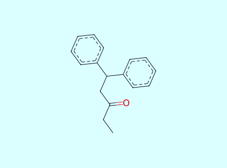 CCC(=O)CC(c1ccccc1)c1ccccc1